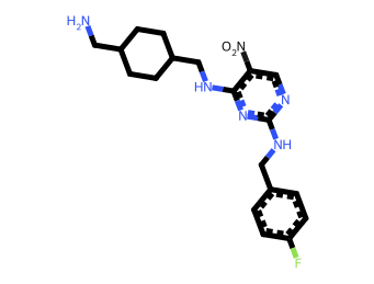 NCC1CCC(CNc2nc(NCc3ccc(F)cc3)ncc2[N+](=O)[O-])CC1